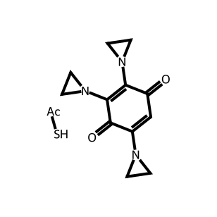 CC(=O)S.O=C1C=C(N2CC2)C(=O)C(N2CC2)=C1N1CC1